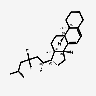 CC(C)CC(F)(F)C[C@@H](C)[C@H]1CC[C@H]2C3=CC=C4CCCC[C@]4(C)[C@H]3CC[C@]12C